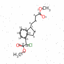 COC(=O)CCCC1CCc2c1cccc2C(Cl)C(=O)OC